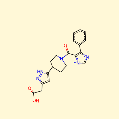 O=C(O)Cc1cc(C2CCN(C(=O)c3[nH]cnc3-c3ccccc3)CC2)[nH]n1